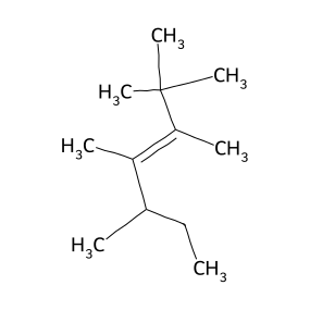 CCC(C)/C(C)=C(\C)C(C)(C)C